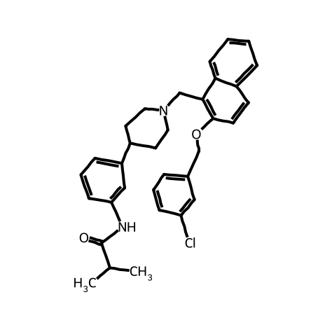 CC(C)C(=O)Nc1cccc(C2CCN(Cc3c(OCc4cccc(Cl)c4)ccc4ccccc34)CC2)c1